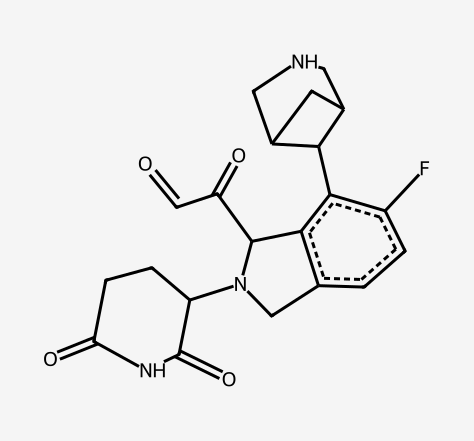 O=CC(=O)C1c2c(ccc(F)c2C2C3CNCC2C3)CN1C1CCC(=O)NC1=O